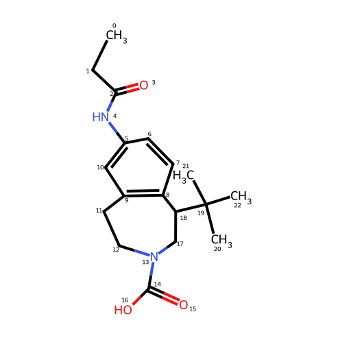 CCC(=O)Nc1ccc2c(c1)CCN(C(=O)O)CC2C(C)(C)C